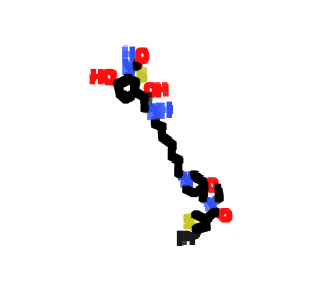 CC(C)c1cc(C(=O)N2CCOC3(CCN(CCCCCCCNC[C@H](O)c4ccc(O)c5[nH]c(=O)sc45)CC3)C2)cs1